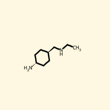 CCNC[C@H]1CC[C@H](N)CC1